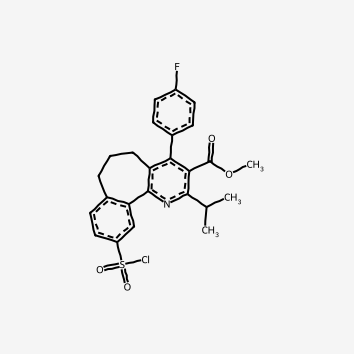 COC(=O)c1c(C(C)C)nc2c(c1-c1ccc(F)cc1)CCCc1ccc(S(=O)(=O)Cl)cc1-2